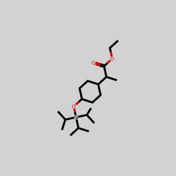 CCOC(=O)C(C)C1CCC(O[Si](C(C)C)(C(C)C)C(C)C)CC1